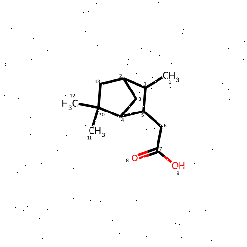 CC1C2CC(C1CC(=O)O)C(C)(C)C2